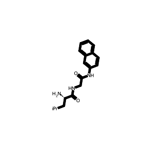 CC(C)C[C@H](N)C(=O)NCC(=O)Nc1ccc2ccccc2c1